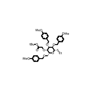 CCS[C@@H]1O[C@H](COCc2ccc(OC)cc2)[C@H](OCC(=O)OC(C)(C)C)[C@H](OCc2ccc(OC)cc2)[C@H]1OCc1ccc(OC)cc1